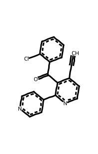 C#Cc1ccnc(-c2ccncc2)c1C(=O)c1ccccc1Cl